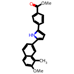 COC(=O)c1ccc(-c2ccc(-c3ccc4ccc(OC)c(C)c4c3)[nH]2)cc1